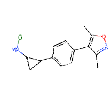 Cc1noc(C)c1-c1ccc(C2CC2NCl)cc1